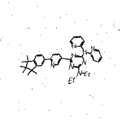 CCN(CC)c1nc(-c2ccc(-c3ccc4c(c3)C(C)(C)C(C)(C)C4(C)C)nc2)nc(N(c2ccccn2)c2ccccn2)n1